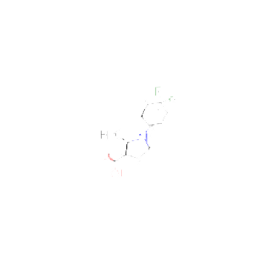 C[C@@H]1C(C(=O)O)CCN1C1CCC(F)(F)CC1